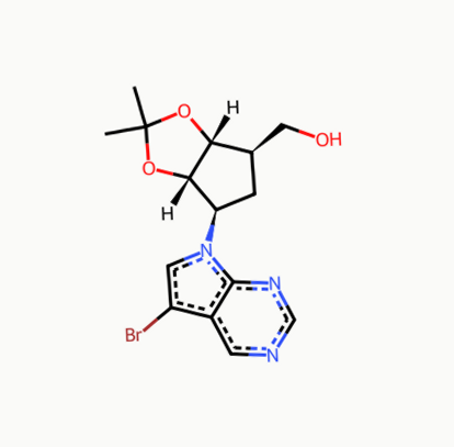 CC1(C)O[C@@H]2[C@@H](CO)C[C@@H](n3cc(Br)c4cncnc43)[C@@H]2O1